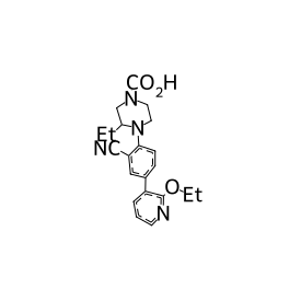 CCOc1ncccc1-c1ccc(N2CCN(C(=O)O)CC2CC)c(C#N)c1